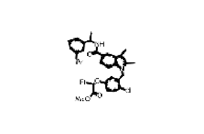 CCC(Oc1ccc(Cl)c(Cn2c(C)c(C)c3cc(C(=O)NC(C)c4cccc(C(C)C)c4)ccc32)c1)C(=O)OC